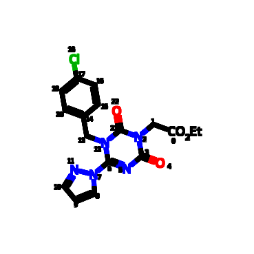 CCOC(=O)Cn1c(=O)nc(-n2cccn2)n(Cc2ccc(Cl)cc2)c1=O